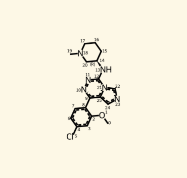 COc1cc(Cl)ccc1-c1nnc(N[C@@H]2CCCN(C)C2)n2cncc12